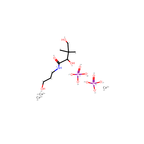 CC(C)(CO)C(O)C(=O)NCCCO.O=P([O-])([O-])[O-].O=P([O-])([O-])[O-].[Ca+2].[Ca+2].[Ca+2]